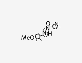 COc1ccc(C2CC[C@H]3CN(C(=O)c4ccc(C)nc4)CCN23)c(C)c1C